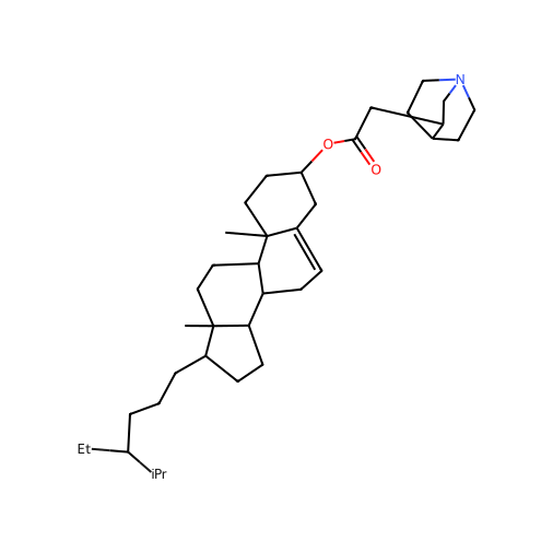 CCC(CCCC1CCC2C3CC=C4CC(OC(=O)CC5CN6CCC5CC6)CCC4(C)C3CCC12C)C(C)C